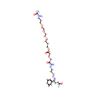 CCC(=O)NCCCOCCOCCOCCCOC(=O)COCC(=O)NCCCCO/N=C(/CCC(=O)F)c1ccccc1